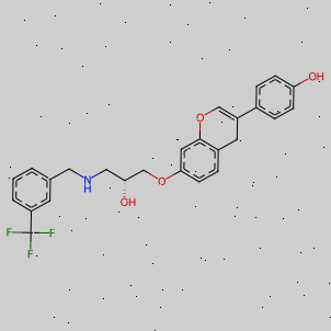 Oc1ccc(C2=COc3cc(OC[C@H](O)CNCc4cccc(C(F)(F)F)c4)ccc3C2)cc1